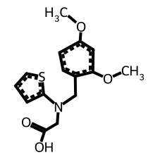 COc1ccc(CN(CC(=O)O)c2cccs2)c(OC)c1